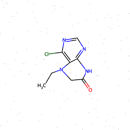 CCN1CC(=O)Nc2ncnc(Cl)c21